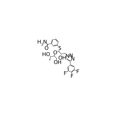 C[C@@H](O)C(CO)OC(Sc1cccc(C(N)=O)c1)[C@@H](O)Cn1cc(-c2cc(F)c(F)c(F)c2)nn1